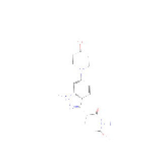 Cn1nc(C2CCC(=O)NC2=O)c2ccc(N3CCC(=O)CC3)cc21